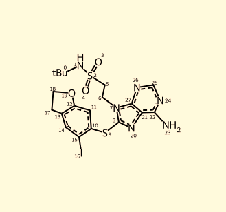 CC(C)(C)NS(=O)(=O)CCn1c(Sc2cc3c(cc2I)CCO3)nc2c(N)ncnc21